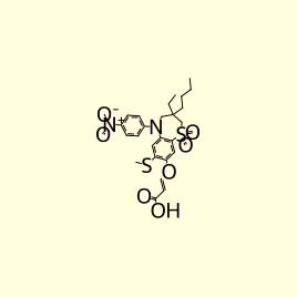 CCCCC1(CC)CN(c2ccc([N+](=O)[O-])cc2)c2cc(SC)c(O/C=C/C(=O)O)cc2S(=O)(=O)C1